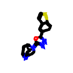 c1cc2cc(-c3nnc(N4CCN5CCC4CC5)o3)ccc2s1